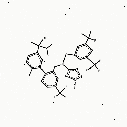 Cc1ccc(C(C)(O)C(C)C)cc1-c1ccc(C(F)(F)F)cc1CN(Cc1cc(C(F)(F)F)cc(C(F)(F)F)c1)c1nnn(C)n1